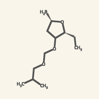 B[C@H]1CC(OCOCC(C)C)[C@@H](CC)O1